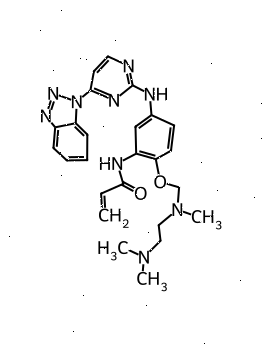 C=CC(=O)Nc1cc(Nc2nccc(-n3nnc4ccccc43)n2)ccc1OCN(C)CCN(C)C